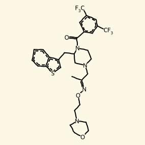 C/C(CN1CCN(C(=O)c2cc(C(F)(F)F)cc(C(F)(F)F)c2)C(Cc2csc3ccccc23)C1)=N\OCCN1CCOCC1